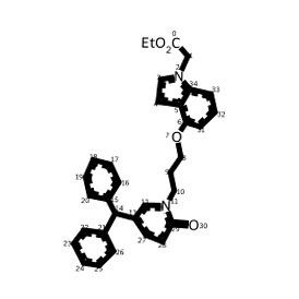 CCOC(=O)Cn1ccc2c(OCCCn3cc(C(c4ccccc4)c4ccccc4)ccc3=O)cccc21